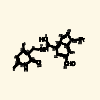 Cc1cc(C)c(CNC(O)c2cc(C=O)nc3c2cnn3C(C)C)c(=O)[nH]1